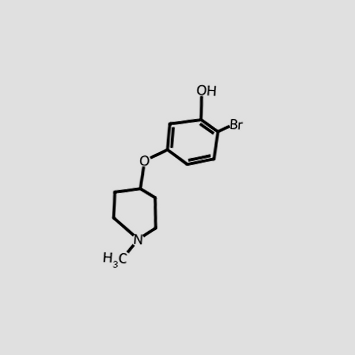 CN1CCC(Oc2ccc(Br)c(O)c2)CC1